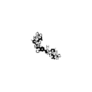 COC(=O)N[C@H](C(=O)N1C[C@@H](C)C[C@H]1c1ncc(-c2ccc(-c3cnc([C@@H]4C[C@H](C)CN4C(=O)[C@@H](NC(=O)OC)C(C)C)[nH]3)c(Cl)c2)[nH]1)C(C)C